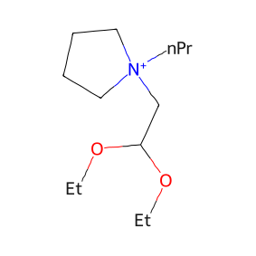 CCC[N+]1(CC(OCC)OCC)CCCC1